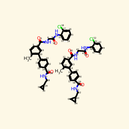 Cc1ccc(C(=O)NCC(=O)Nc2ccccc2Cl)cc1-c1ccc(C(=O)NCC2CC2)cc1.Cc1ccc(C(=O)NCC(=O)Nc2ccccc2Cl)cc1-c1ccc(C(=O)NCC2CC2)cc1